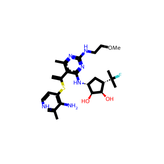 C=C(C)/C(N)=C(\C=C/N)SC(=C)c1c(C)nc(NCCOC)nc1N[C@@H]1C[C@H](C(C)(C)F)[C@@H](O)[C@H]1O